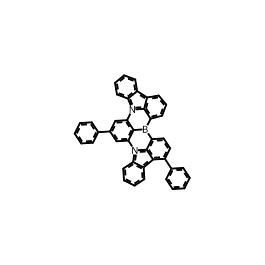 c1ccc(-c2cc3c4c(c2)-n2c5ccccc5c5c(-c6ccccc6)ccc(c52)B4c2cccc4c5ccccc5n-3c24)cc1